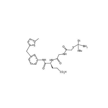 BC(CC)(CCCC)SCC(=O)NCC(=O)N[C@@H](CCC(=O)O)C(=O)Nc1cccc(Cc2ccc(C)s2)c1